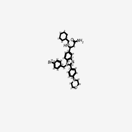 NC(=O)CC(NCC1CCCCC1)c1ccc2c(c1)nc(-c1ccc(N3CCOCC3)cc1)n2Cc1ccc(Br)cc1